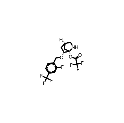 O=C(O[C@]12C[C@H](CN1)C[C@H]2OCc1ccc(C(F)(F)F)cc1F)C(F)(F)F